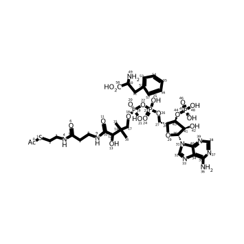 CC(=O)SCCNC(=O)CCNC(=O)C(O)C(C)(C)COP(=O)(O)OP(=O)(O)OC[C@H]1O[C@@H](n2cnc3c(N)ncnc32)[C@H](O)[C@@H]1OP(=O)(O)O.NC(Cc1ccccc1)C(=O)O